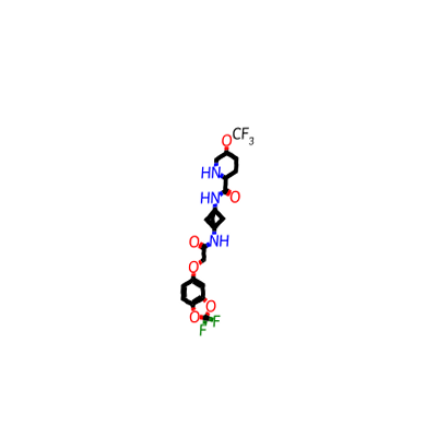 O=C(COc1ccc2c(c1)OC(F)(F)O2)NC12CC(NC(=O)C3CCC(OC(F)(F)F)CN3)(C1)C2